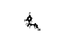 Fc1ccc(C2(C(F)(F)c3ccc(Br)s3)CO2)c(F)c1